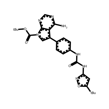 CC(C)(C)OC(=O)n1cc(-c2ccc(NC(=O)Nc3cc(C(C)(C)C)on3)cc2)c2c(N)ncnc21